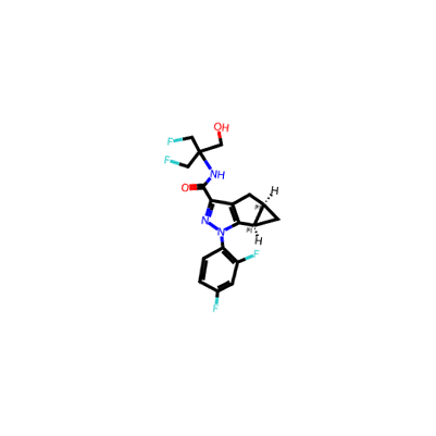 O=C(NC(CO)(CF)CF)c1nn(-c2ccc(F)cc2F)c2c1C[C@H]1C[C@@H]21